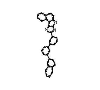 c1cc(-c2cccc(-c3cnc4c(n3)oc3ccc5ccccc5c34)c2)cc(-c2ccc3ccccc3c2)c1